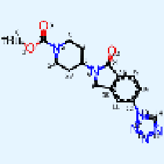 CC(C)(C)OC(=O)N1CCC(N2Cc3cc(-n4cnnn4)ccc3C2=O)CC1